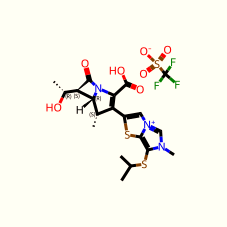 CC(C)Sc1c2sc(C3=C(C(=O)O)N4C(=O)[C@H]([C@@H](C)O)[C@H]4[C@H]3C)c[n+]2cn1C.O=S(=O)([O-])C(F)(F)F